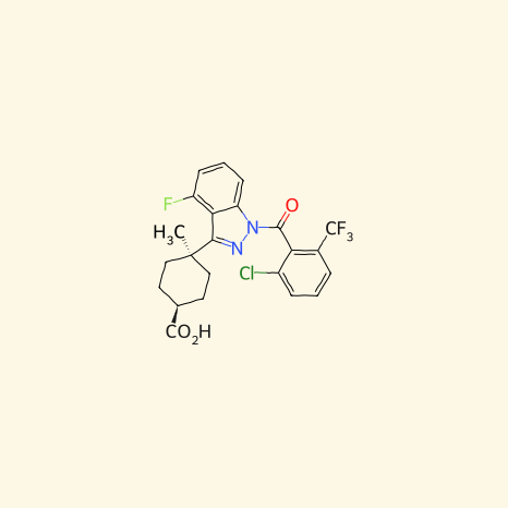 C[C@]1(c2nn(C(=O)c3c(Cl)cccc3C(F)(F)F)c3cccc(F)c32)CC[C@@H](C(=O)O)CC1